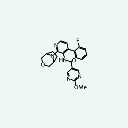 COc1ncc(C(=O)Nc2c(-c3ccccc3F)ccnc2N2C3CCC2COC3)cn1